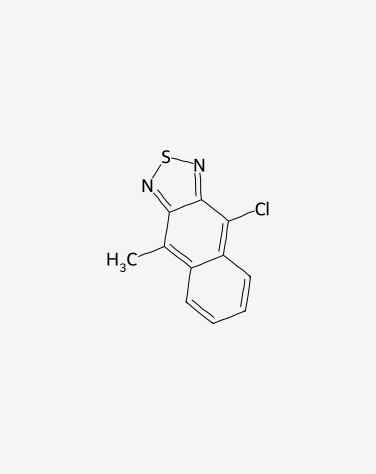 Cc1c2ccccc2c(Cl)c2nsnc12